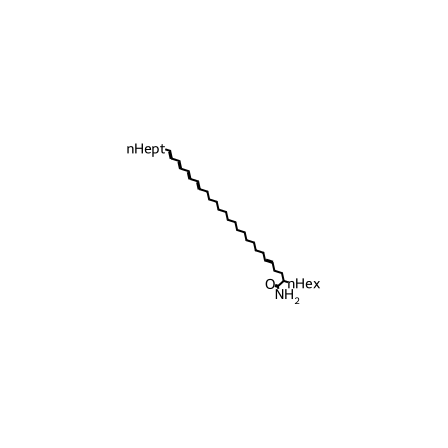 CCCCCCCC=CC=CC=CC=CCCCCCCCCCCCCCC=CCCC(CCCCCC)C(N)=O